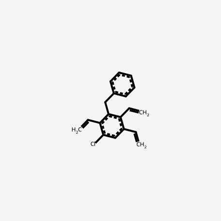 C=Cc1cc(Cl)c(C=C)c(Cc2ccccc2)c1C=C